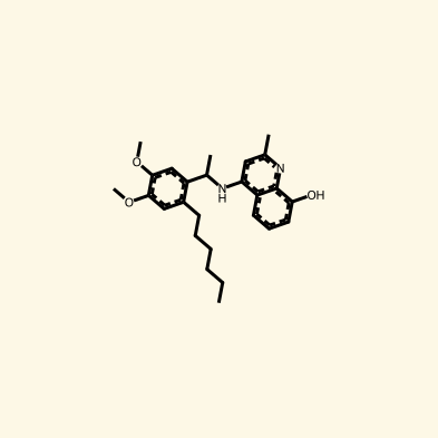 CCCCCCc1cc(OC)c(OC)cc1C(C)Nc1cc(C)nc2c(O)cccc12